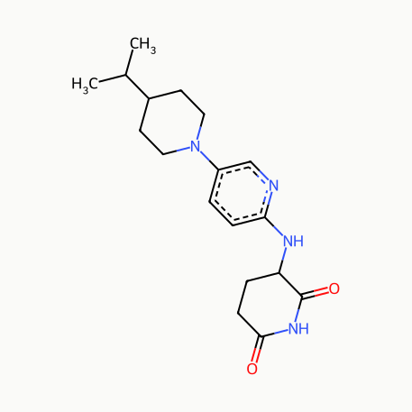 CC(C)C1CCN(c2ccc(NC3CCC(=O)NC3=O)nc2)CC1